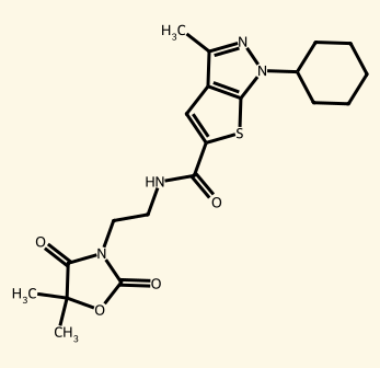 Cc1nn(C2CCCCC2)c2sc(C(=O)NCCN3C(=O)OC(C)(C)C3=O)cc12